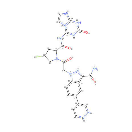 NC(=O)c1nn(CC(=O)N2CC(F)CC2C(=O)Nc2nc(=O)[nH]c3nccn23)c2ccc(-c3ccnnc3)cc12